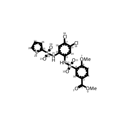 COC(=O)c1ccc(OC)c(S(=O)(=O)Nc2cc(Cl)c(Cl)cc2NS(=O)(=O)c2cccs2)c1